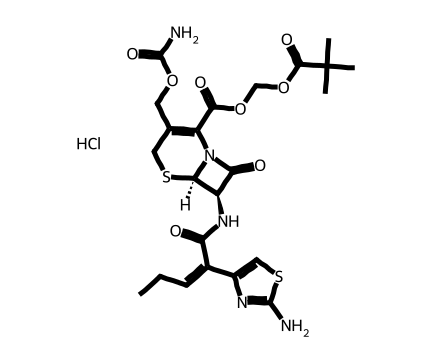 CC/C=C(\C(=O)N[C@@H]1C(=O)N2C(C(=O)OCOC(=O)C(C)(C)C)=C(COC(N)=O)CS[C@H]12)c1csc(N)n1.Cl